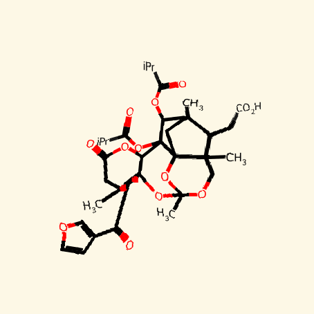 CC(C)C(=O)OC1C2(C)CC34OC(C)(OCC3(C)C2CC(=O)O)OC23CCCC(C)(C(=O)c5ccoc5)C2CC(=O)OC3C14OC(=O)C(C)C